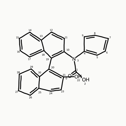 O=C(O)N(c1ccccc1)c1ccc2ccccc2c1-c1c(O)ccc2ccccc12